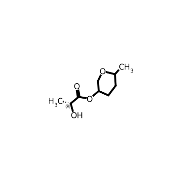 CC1CCC(OC(=O)[C@@H](C)O)CO1